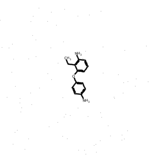 CCc1c(N)cccc1Oc1ccc(N)cc1